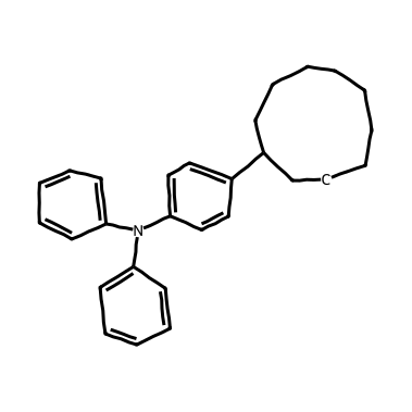 c1ccc(N(c2ccccc2)c2ccc(C3CCCCCCCCC3)cc2)cc1